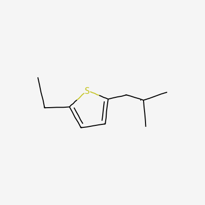 CCc1ccc(C[C](C)C)s1